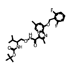 Cc1cc(OCc2c(F)cccc2F)c2nc(C)c(C(=O)NOCC(NC(=O)OC(C)(C)C)C(C)C)n2c1